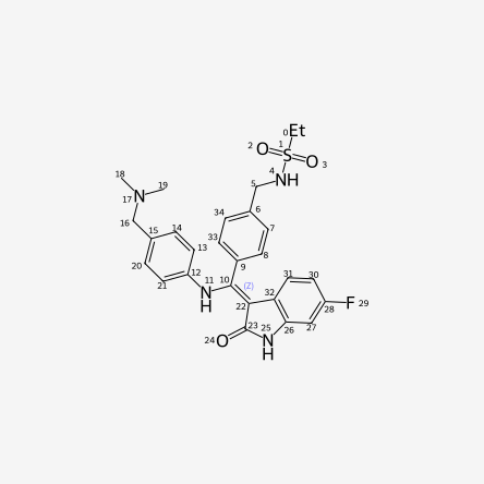 CCS(=O)(=O)NCc1ccc(/C(Nc2ccc(CN(C)C)cc2)=C2/C(=O)Nc3cc(F)ccc32)cc1